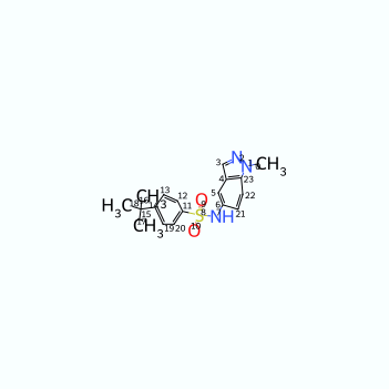 Cn1ncc2cc(NS(=O)(=O)c3ccc(C(C)(C)C)cc3)ccc21